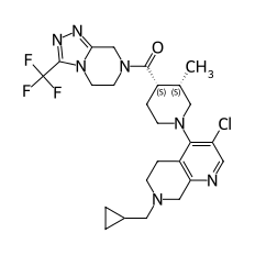 C[C@@H]1CN(c2c(Cl)cnc3c2CCN(CC2CC2)C3)CC[C@@H]1C(=O)N1CCn2c(nnc2C(F)(F)F)C1